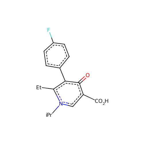 CCc1c(-c2ccc(F)cc2)c(=O)c(C(=O)O)cn1C(C)C